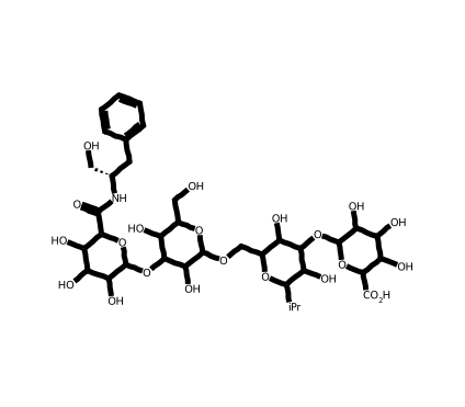 CC(C)C1OC(COC2OC(CO)C(O)C(OC3OC(C(=O)N[C@H](CO)Cc4ccccc4)C(O)C(O)C3O)C2O)C(O)C(OC2OC(C(=O)O)C(O)C(O)C2O)C1O